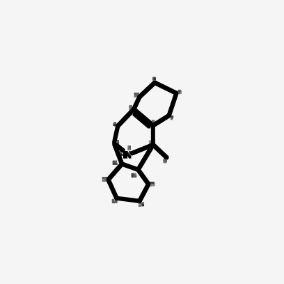 CC12NC(CC3=C1CCCC3)C1CCCCC12